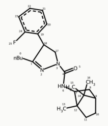 CCCCC1=NN(C(=O)NC2CC3CCC2(C)C3(C)C)CC1c1ccccc1F